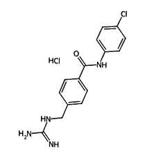 Cl.N=C(N)NCc1ccc(C(=O)Nc2ccc(Cl)cc2)cc1